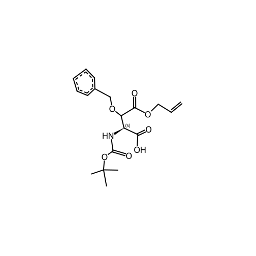 C=CCOC(=O)C(OCc1ccccc1)[C@H](NC(=O)OC(C)(C)C)C(=O)O